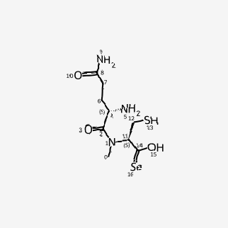 CN(C(=O)[C@@H](N)CCC(N)=O)[C@@H](CS)C(O)=[Se]